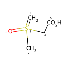 C=S(C)(=O)CC(=O)O